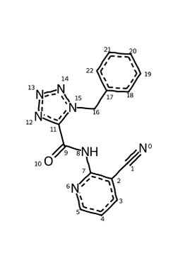 N#Cc1cccnc1NC(=O)c1nnnn1Cc1ccccc1